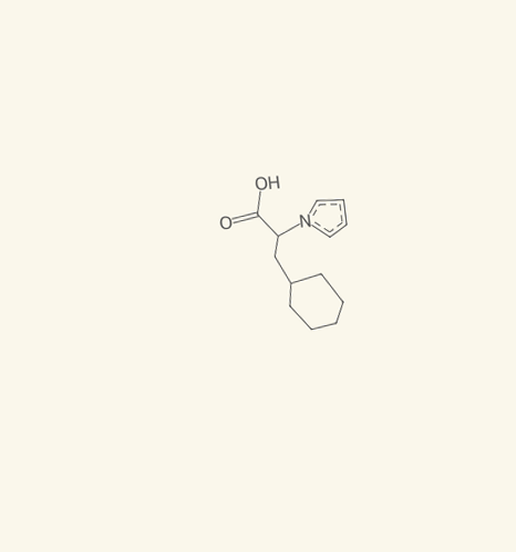 O=C(O)C(CC1CCCCC1)n1cccc1